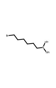 CCCN(CCC)CCCCCCBr